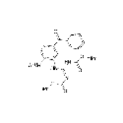 CC(=O)Nc1ccc(C(=O)c2ccccc2)cc1NC(=NC(=O)OC(C)C)NC(=O)OC(C)C